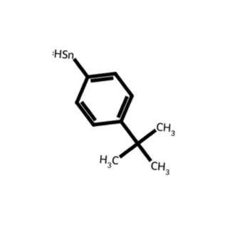 CC(C)(C)c1cc[c]([SnH])cc1